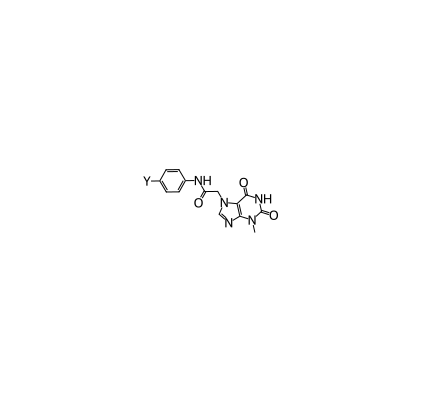 Cn1c(=O)[nH]c(=O)c2c1ncn2CC(=O)Nc1cc[c]([Y])cc1